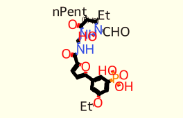 CCCCC[C@@H](C(=O)NCNC(=O)c1ccc(-c2cc(OCC)cc(P(=O)(O)O)c2)o1)[C@@H](CC)N(O)C=O